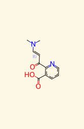 CN(C)/C=C/C(=O)c1ncccc1C(=O)O